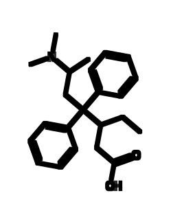 CCC(CC(=O)O)C(CC(C)N(C)C)(c1ccccc1)c1ccccc1